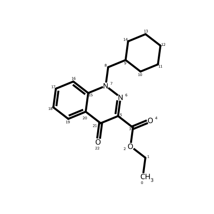 CCOC(=O)c1nn(CC2CCCCC2)c2ccccc2c1=O